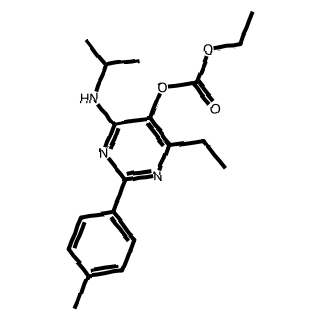 CCOC(=O)Oc1c(CC)nc(-c2ccc(C)cc2)nc1NC(C)C